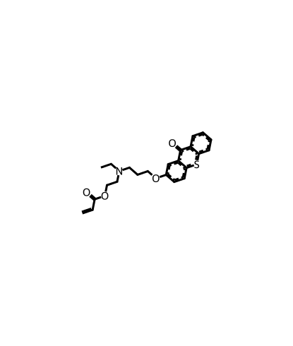 C=CC(=O)OCCN(CC)CCCOc1ccc2sc3ccccc3c(=O)c2c1